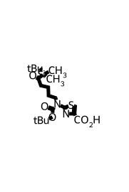 CC(C)(C)OC(=O)N(CCCCC(=O)[Si](C)(C)C(C)(C)C)c1nc(C(=O)O)cs1